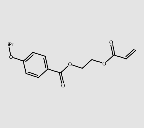 C=CC(=O)OCCOC(=O)c1ccc(OC(C)C)cc1